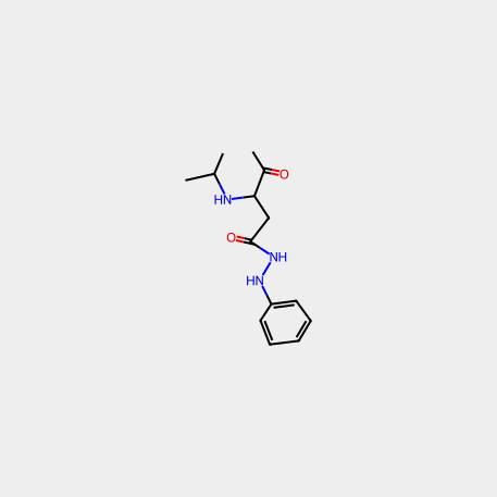 CC(=O)C(CC(=O)NNc1ccccc1)NC(C)C